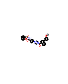 CCOc1cccc(-c2ccc(C(=O)N3CCN(c4ccc(C(=O)NS(=O)(=O)CC56CC7CC(CC(C7)C5)C6)cc4)CC3)c3ccccc23)c1